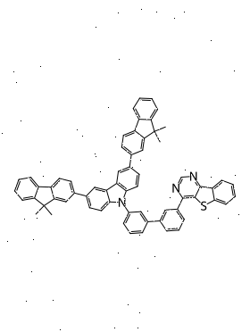 CC1(C)c2ccccc2-c2ccc(-c3ccc4c(c3)c3cc(-c5ccc6c(c5)C(C)(C)c5ccccc5-6)ccc3n4-c3cccc(-c4cccc(-c5ncnc6c5sc5ccccc56)c4)c3)cc21